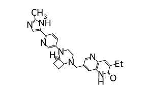 CCc1cc2ncc(CN3CCN(c4ccc(-c5cnc(C)[nH]5)nc4)[C@@H]4CCC43)cc2[nH]c1=O